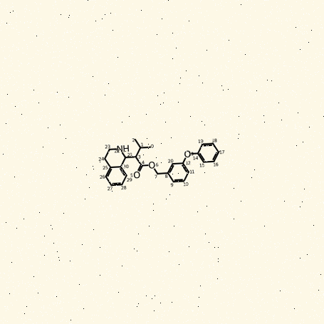 CC(C)C(C(=O)OCc1cccc(Oc2ccccc2)c1)C1NCCc2ccccc21